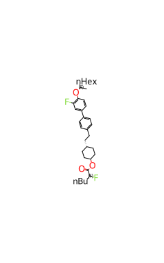 CCCCCC[C@H](C)Oc1ccc(-c2ccc(CC[C@H]3CC[C@H](OC(=O)[C@@H](F)CCCC)CC3)cc2)cc1F